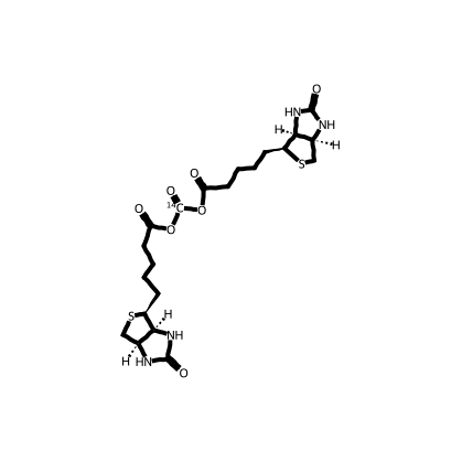 O=C1N[C@H]2[C@H](CS[C@H]2CCCCC(=O)O[14C](=O)OC(=O)CCCC[C@@H]2SC[C@@H]3NC(=O)N[C@@H]32)N1